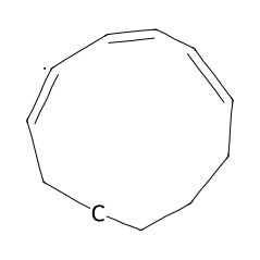 [C]1=CCCCCCC=CC=C1